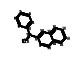 ClP(c1ccccc1)c1ccc2ccccc2c1